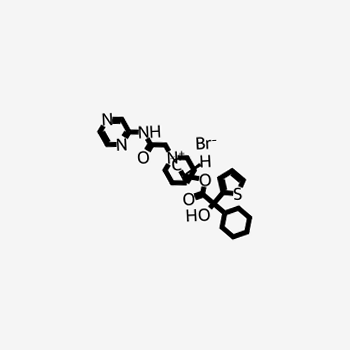 O=C(C[N+]12CCC(CC1)[C@@H](OC(=O)C(O)(c1cccs1)C1CCCCC1)C2)Nc1cnccn1.[Br-]